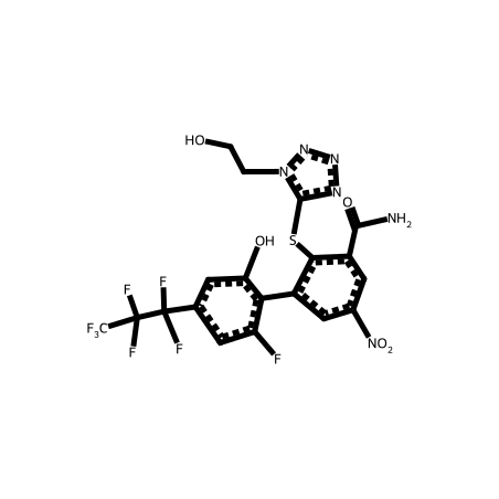 NC(=O)c1cc([N+](=O)[O-])cc(-c2c(O)cc(C(F)(F)C(F)(F)C(F)(F)F)cc2F)c1Sc1nnnn1CCO